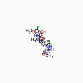 COc1cc(F)cc([C@@H](CO)NC(=O)[C@@H](C)N2Cc3ccc(-c4nc(N[C@H]5CCC(=O)N(C)C5)ncc4Cl)cc3C2=O)c1